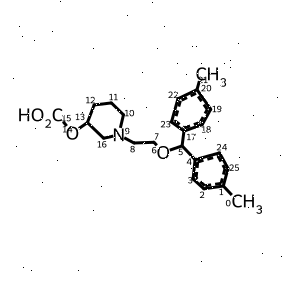 Cc1ccc(C(OCCN2CCCC(OC(=O)O)C2)c2ccc(C)cc2)cc1